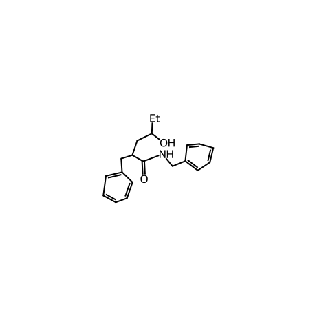 CCC(O)CC(Cc1ccccc1)C(=O)NCc1ccccc1